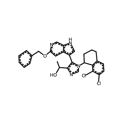 CC(O)c1ncn(C2CCCc3ccc(Cl)c(Cl)c32)c1-c1c[nH]c2cnc(OCc3ccccc3)cc12